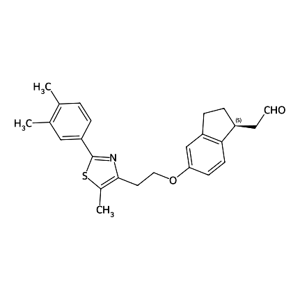 Cc1ccc(-c2nc(CCOc3ccc4c(c3)CC[C@H]4CC=O)c(C)s2)cc1C